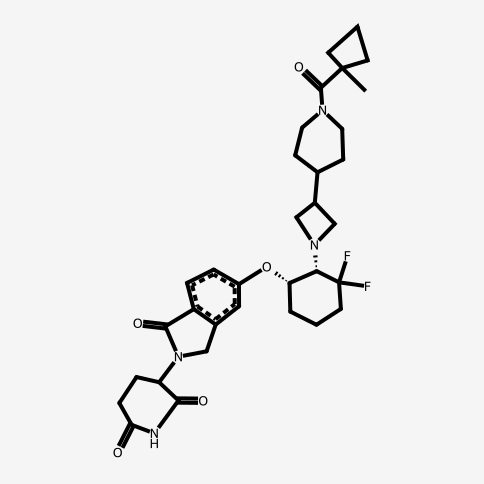 CC1(C(=O)N2CCC(C3CN([C@H]4[C@@H](Oc5ccc6c(c5)CN(C5CCC(=O)NC5=O)C6=O)CCCC4(F)F)C3)CC2)CCC1